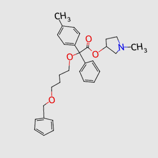 Cc1ccc(C(OCCCCOCc2ccccc2)(C(=O)OC2CCN(C)C2)c2ccccc2)cc1